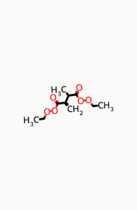 C=C(C(=O)OOCC)C(C)C(=O)OOCC